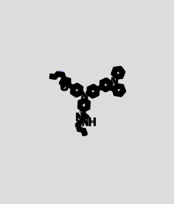 C=C/C=C\c1coc(-c2ccc(N(C3=CC[C@@H](c4c[nH]c(/C=C\C=C)n4)C=C3)c3ccc(-c4ccc5c(c4)c4ccccc4n5-c4ccccc4)cc3)cc2)c1